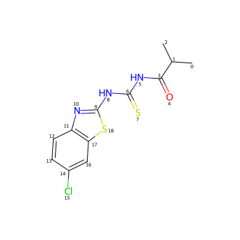 CC(C)C(=O)NC(=S)Nc1nc2ccc(Cl)cc2s1